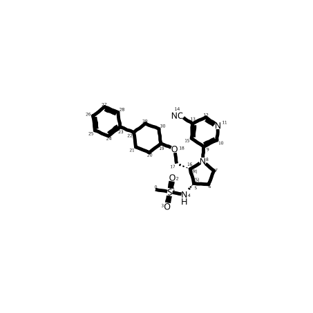 CS(=O)(=O)N[C@H]1CCN(c2cncc(C#N)c2)[C@H]1COC1CCC(c2ccccc2)CC1